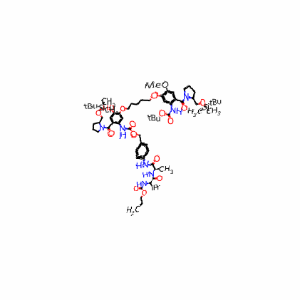 C=CCOC(=O)NC(C(=O)NC(C)C(=O)Nc1ccc(COC(=O)Nc2cc(OCCCCCOc3cc(NC(=O)OC(C)(C)C)c(C(=O)N4CCCC4CO[Si](C)(C)C(C)(C)C)cc3OC)c(O)cc2C(=O)N2CCCC2CO[Si](C)(C)C(C)(C)C)cc1)C(C)C